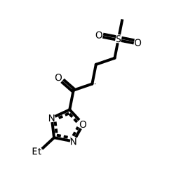 CCc1noc(C(=O)[CH]CCS(C)(=O)=O)n1